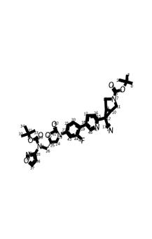 CC(C)(C)OC(=O)N1CC2C(C1)C2(C#N)c1ccc(-c2ccc(N3C[C@H](CN(C(=O)OC(C)(C)C)c4ccon4)OC3=O)cc2F)cn1